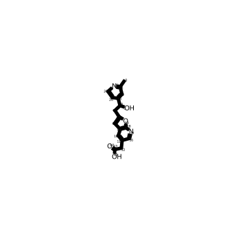 Cc1cc(C(O)Cc2cc3cc(CC(=O)O)cnc3o2)ccn1